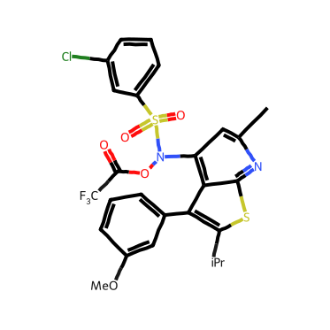 COc1cccc(-c2c(C(C)C)sc3nc(C)cc(N(OC(=O)C(F)(F)F)S(=O)(=O)c4cccc(Cl)c4)c23)c1